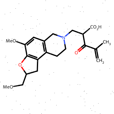 C=C(C)C(=O)C(CN1CCc2c(cc(OC)c3c2CC(COC)O3)C1)C(=O)O